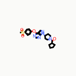 CS(=O)(=O)c1ccc(Oc2ncnc3c2cnn3C2CCN(C(=O)C3CCCC3)CC2)cc1